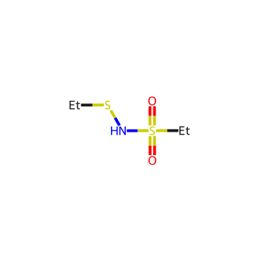 CCSNS(=O)(=O)CC